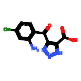 Nc1cc(Cl)ccc1C(=O)c1nn[nH]c1C(=O)O